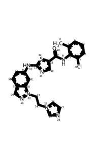 Cc1cccc(Cl)c1NC(=O)c1cnc(Nc2ccc3cnn(CCn4ccnc4)c3c2)s1